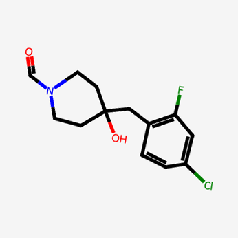 O=CN1CCC(O)(Cc2ccc(Cl)cc2F)CC1